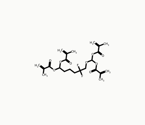 C=C(C)C(=O)OC(CCCC(F)(F)COC(OC(=O)C(=C)C)OC(=O)C(=C)C)OC(=O)C(=C)C